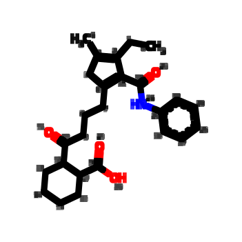 CCC1=C(C)CC(CCCC(=O)C2CCCCC2C(=O)O)=C1C(=O)Nc1ccccc1